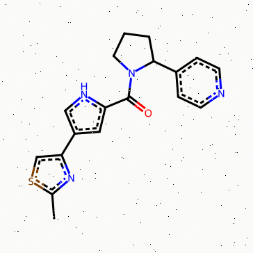 Cc1nc(-c2c[nH]c(C(=O)N3CCCC3c3ccncc3)c2)cs1